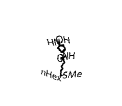 CCCCCCC(CCCCC(=O)Nc1ccc(NO)cc1)SC